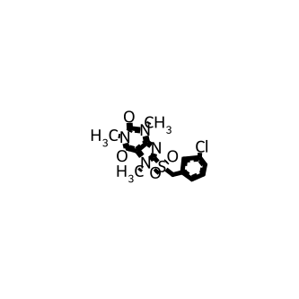 Cn1c(=O)c2c(nc(S(=O)(=O)Cc3cccc(Cl)c3)n2C)n(C)c1=O